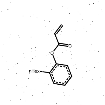 C=CC(=O)Oc1ccccc1CCCCCC